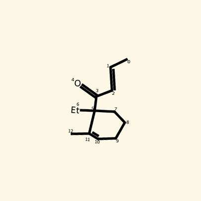 C/C=C/C(=O)C1(CC)CCCC=C1C